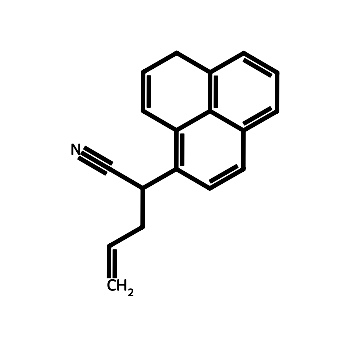 C=CCC(C#N)c1ccc2cccc3c2c1C=CC3